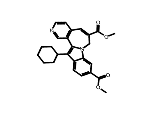 COC(=O)C1=Cc2ccncc2-c2c(C3CCCCC3)c3ccc(C(=O)OC)cc3n2C1